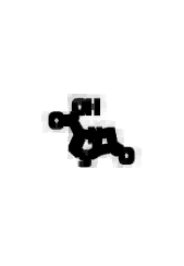 O=C(O)C1=CSC2C(=O)CN12